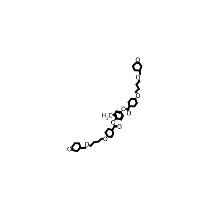 Cc1cc(OC(=O)C2CCC(OCCCCOCC3CCC4OC4C3)CC2)ccc1OC(=O)C1CCC(OCCCCOCC2CCC3OC3C2)CC1